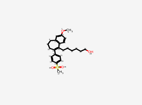 COc1ccc2c(c1)CCCC(c1ccc(S(C)(=O)=O)cc1)=C2CCCCCCO